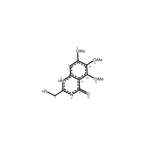 COc1cc2[nH]c(CS)nc(=O)c2c(OC)c1OC